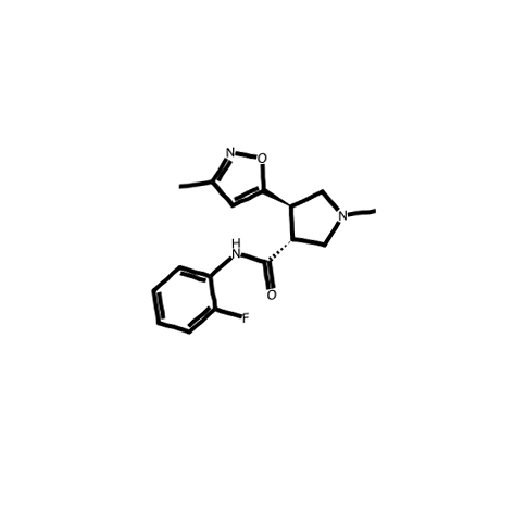 Cc1cc([C@H]2CN(C)C[C@@H]2C(=O)Nc2ccccc2F)on1